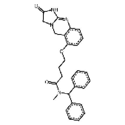 CN(C(=O)CCCOc1cccc2c1CN1CC(=O)NC1=N2)C(c1ccccc1)c1ccccc1